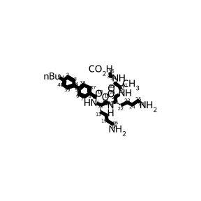 CCCCc1ccc(-c2ccc(C(=O)N[C@@H](CCCCN)C(=O)N[C@@H](CCCCN)C(=O)N[C@@H](C)C(=O)NCC(=O)O)cc2)cc1